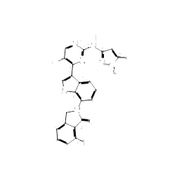 Cc1cnc(Nc2cc(C)n(C)n2)nc1-c1c[nH]c2c(N3Cc4cccc(F)c4C3=O)cccc12